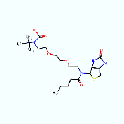 CCCCC(=O)N(CCOCCOCCN(C(=O)O)C(C)(C)C)C1SCC2NC(=O)NC21